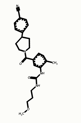 COCCCNC(=O)Nc1cc(C(=O)N2CCC(c3ccc(C#N)cc3)CC2)ccc1C